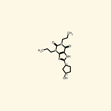 CCCn1c(=O)c2[nH]c([C@H]3CC[C@@H](O)C3)nc2n(CCC)c1=O